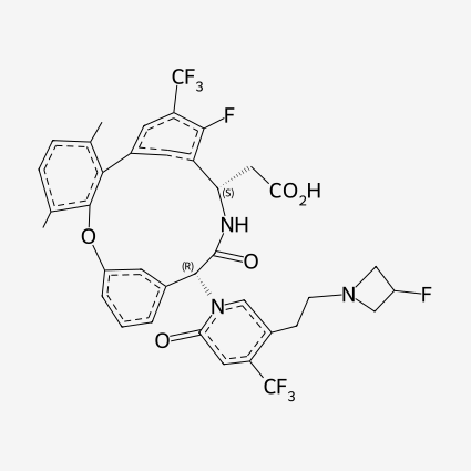 Cc1ccc(C)c2c1Oc1cccc(c1)[C@@H](n1cc(CCN3CC(F)C3)c(C(F)(F)F)cc1=O)C(=O)N[C@@H](CC(=O)O)c1cc-2cc(C(F)(F)F)c1F